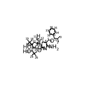 CC(C)C(OCc1cn([C@@]2([SiH](C)C)C[C@@](O)(C(C)(C)C)[C@@H](C(O)C(C)(C)C)O2)c(=O)nc1N)c1ccccc1